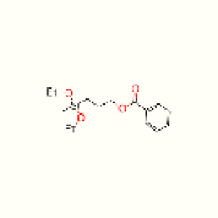 CCO[Si](C)(CCCOC(=O)c1ccccc1)OCC